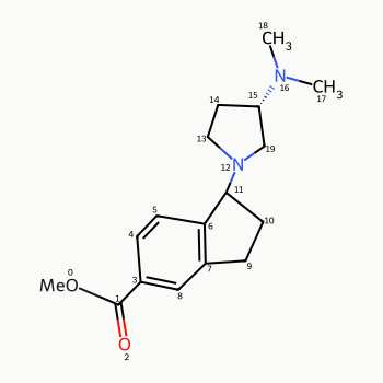 COC(=O)c1ccc2c(c1)CCC2N1CC[C@H](N(C)C)C1